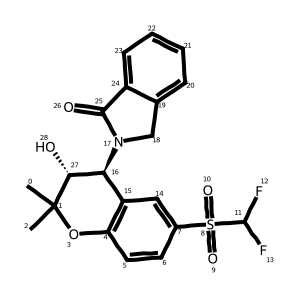 CC1(C)Oc2ccc(S(=O)(=O)C(F)F)cc2[C@H](N2Cc3ccccc3C2=O)[C@H]1O